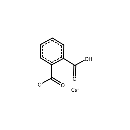 O=C([O-])c1ccccc1C(=O)O.[Cs+]